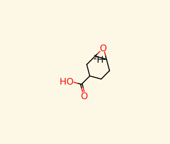 [2H]C12CCC(C(=O)O)CC1O2